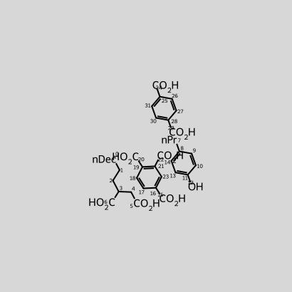 CCCCCCCCCCCCC(CC(=O)O)C(=O)O.CCCc1ccc(O)cc1.O=C(O)c1ccc(C(=O)O)c(C(=O)O)c1.O=C(O)c1ccc(C(=O)O)cc1